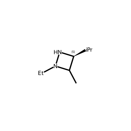 CCN1N[C@@H](C(C)C)C1C